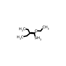 CCOC([SiH3])=C(CC)CC